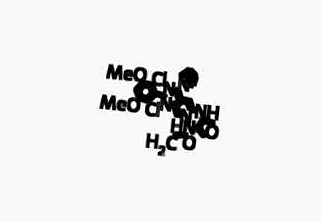 C=CC(=O)N[C@H]1COC[C@H]1Nc1cc2c(N3CC4C5C4C53)nc(-c3c(Cl)c(OC)cc(OC)c3Cl)nc2cn1